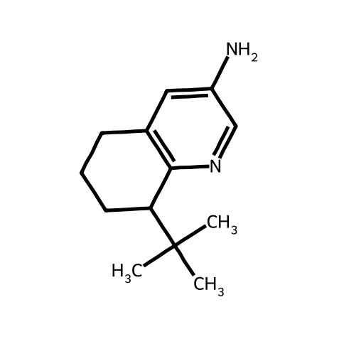 CC(C)(C)C1CCCc2cc(N)cnc21